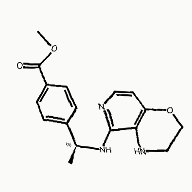 COC(=O)c1ccc([C@H](C)Nc2nccc3c2NCCO3)cc1